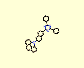 c1ccc(-c2nc(-c3ccccc3)nc(-c3ccc4cc(-n5c6cccc7ccc8cccc5c8c76)ccc4c3)n2)cc1